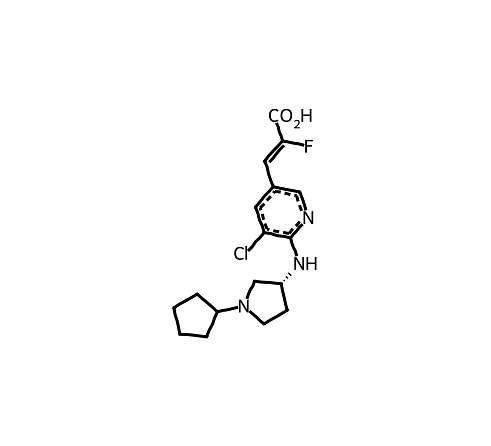 O=C(O)C(F)=Cc1cnc(N[C@@H]2CCN(C3CCCC3)C2)c(Cl)c1